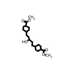 COC(=O)C1CCC(CCC(O)CCC2CCC(C(=O)OC)CC2)CC1